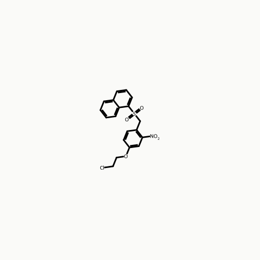 O=[N+]([O-])c1cc(OCCCl)ccc1CS(=O)(=O)c1cccc2ccccc12